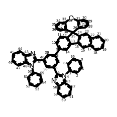 c1ccc(-n2c(-c3cc(-c4ccc5c(c4)-c4cc6ccccc6cc4C54c5ccccc5Oc5ccccc54)cc(-c4nc5ccccc5n4-c4ccccc4)c3)nc3ccccc32)cc1